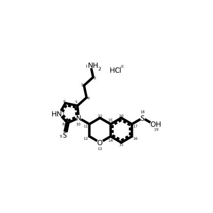 Cl.NCCCc1c[nH]c(=S)n1C1COc2ccc(SO)cc2C1